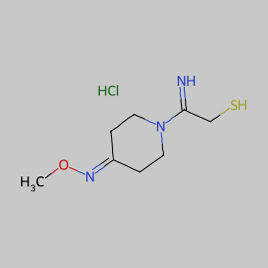 CON=C1CCN(C(=N)CS)CC1.Cl